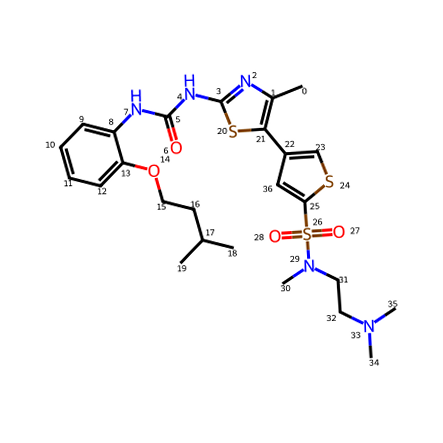 Cc1nc(NC(=O)Nc2ccccc2OCCC(C)C)sc1-c1csc(S(=O)(=O)N(C)CCN(C)C)c1